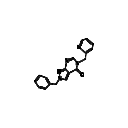 O=c1c2cn(Cc3ccccc3)nc2ncn1Cc1ccccn1